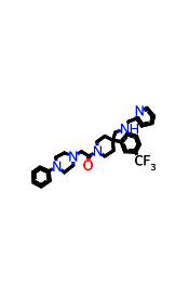 O=C(CN1CCN(c2ccccc2)CC1)N1CCC(CNCc2ccccn2)(c2cccc(C(F)(F)F)c2)CC1